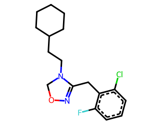 Fc1cccc(Cl)c1CC1=NOCN1CCC1CCCCC1